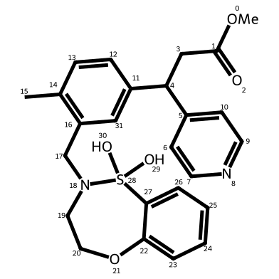 COC(=O)CC(c1ccncc1)c1ccc(C)c(CN2CCOc3ccccc3S2(O)O)c1